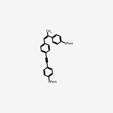 CCCCCc1ccc(C#Cc2ccc(C=C(C)c3ccc(CCCCC)cc3)cc2)cc1